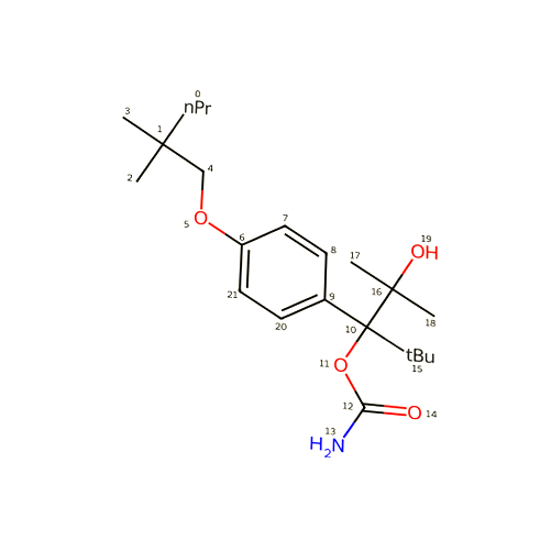 CCCC(C)(C)COc1ccc(C(OC(N)=O)(C(C)(C)C)C(C)(C)O)cc1